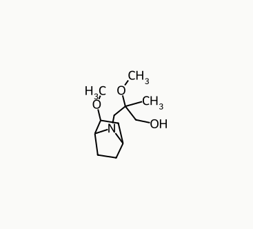 COC1CC2CCC1N2CC(C)(CO)OC